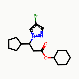 O=C(CC(C1CCCC1)n1cc(Br)cn1)OC1CCCCC1